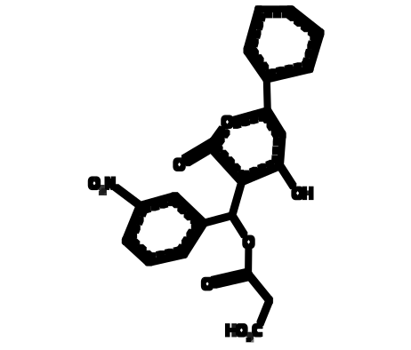 O=C(O)CC(=O)OC(c1cccc([N+](=O)[O-])c1)c1c(O)cc(-c2ccccc2)oc1=O